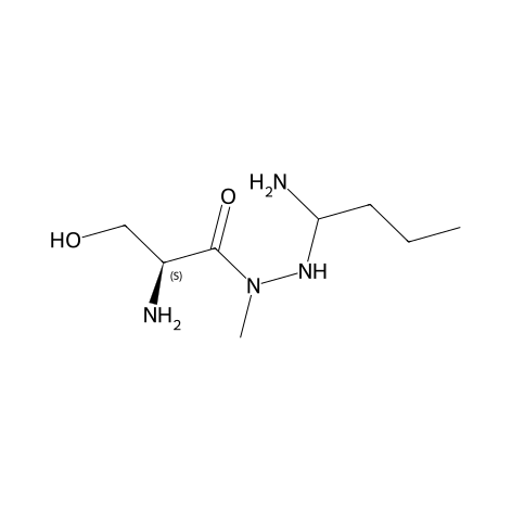 CCCC(N)NN(C)C(=O)[C@@H](N)CO